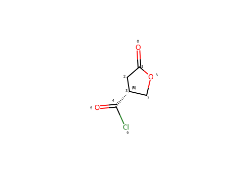 O=C1C[C@@H](C(=O)Cl)CO1